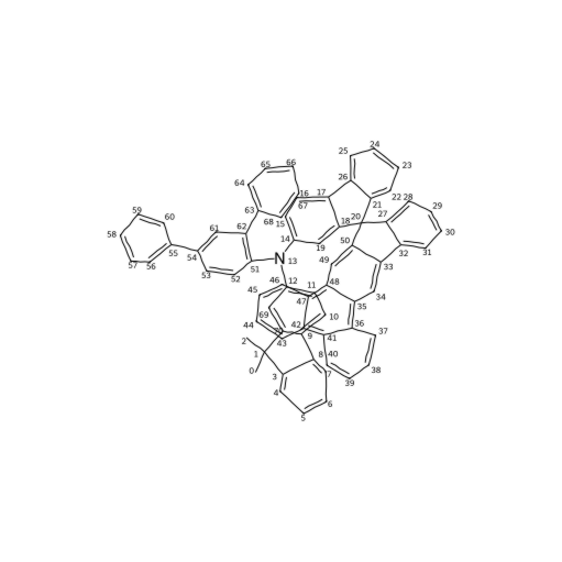 CC1(C)c2ccccc2-c2ccc(N(c3ccc4c(c3)C3(c5ccccc5-4)c4ccccc4-c4cc5c6ccccc6c6ccccc6c5cc43)c3ccc(-c4ccccc4)cc3-c3ccccc3)cc21